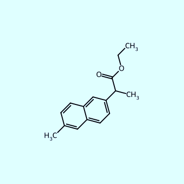 CCOC(=O)C(C)c1ccc2cc(C)ccc2c1